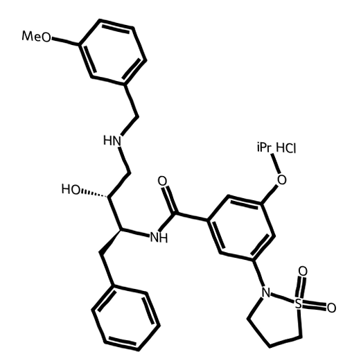 COc1cccc(CNC[C@@H](O)[C@H](Cc2ccccc2)NC(=O)c2cc(OC(C)C)cc(N3CCCS3(=O)=O)c2)c1.Cl